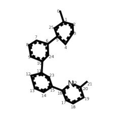 Cc1cccc(-c2cccc(-c3cccc(-c4cccc(C)n4)c3)c2)c1